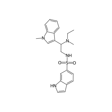 CCN(C)C(CNS(=O)(=O)c1ccc2cc[nH]c2c1)c1cn(C)c2ccccc12